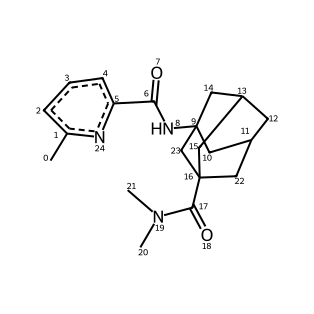 Cc1cccc(C(=O)NC23CC4CC(C2)CC(C(=O)N(C)C)(C4)C3)n1